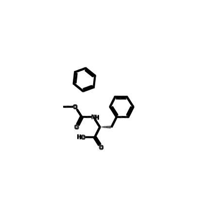 COC(=O)N[C@H](Cc1ccccc1)C(=O)O.c1ccccc1